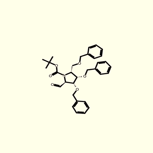 CC(C)(C)OC(=O)N1[C@H](C=O)[C@@H](OCc2ccccc2)[C@@H](OCc2ccccc2)[C@H]1COCc1ccccc1